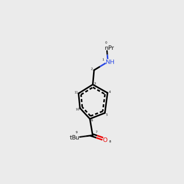 CCCNCc1ccc(C(=O)C(C)(C)C)cc1